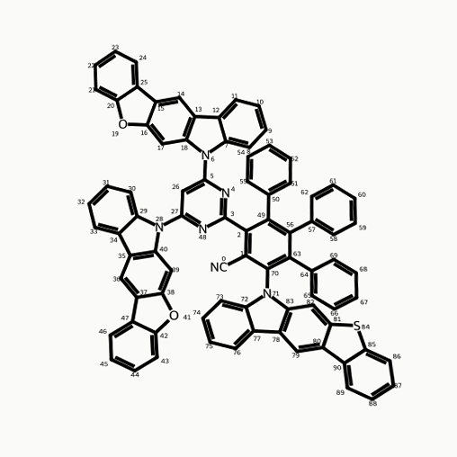 N#Cc1c(-c2nc(-n3c4ccccc4c4cc5c(cc43)oc3ccccc35)cc(-n3c4ccccc4c4cc5c(cc43)oc3ccccc35)n2)c(-c2ccccc2)c(-c2ccccc2)c(-c2ccccc2)c1-n1c2ccccc2c2cc3c(cc21)sc1ccccc13